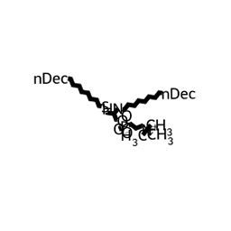 CCCCCCCCCCCCCCCCCCSCC(COP(=O)([O-])CCC[N+](C)(C)C)NC(=O)CCCCCCCCCCCCCCCCC